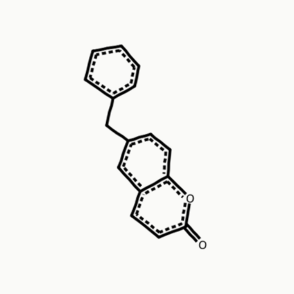 O=c1ccc2cc(Cc3ccccc3)ccc2o1